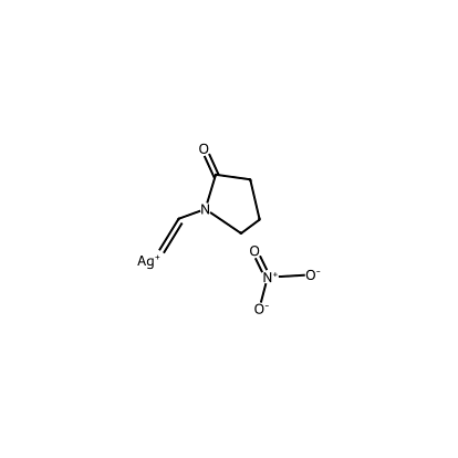 C=CN1CCCC1=O.O=[N+]([O-])[O-].[Ag+]